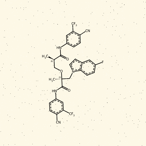 C[C@H](CO[C@@](C)(Cn1ccc2cc(F)ccc21)C(=O)Nc1ccc(C#N)c(C(F)(F)F)c1)C(=O)Nc1ccc(C#N)c(C(F)(F)F)c1